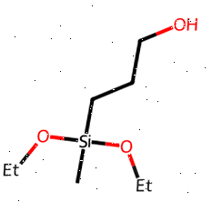 CCO[Si](C)(CCCO)OCC